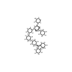 c1ccc(-c2cc(-c3cccc(-c4cccc(-c5ccc(-n6c7ccccc7c7ccccc76)cc5)c4)c3)nc(-c3ccccc3)n2)cc1